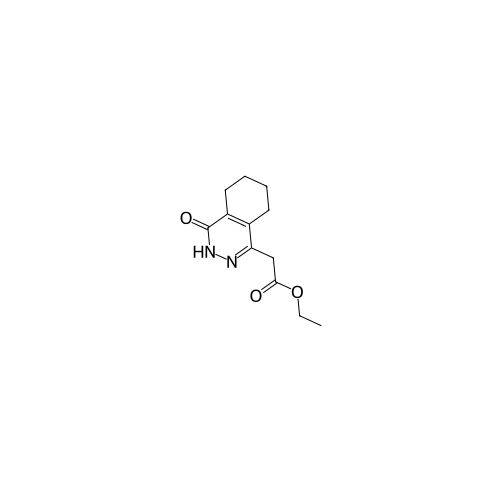 CCOC(=O)Cc1n[nH]c(=O)c2c1CCCC2